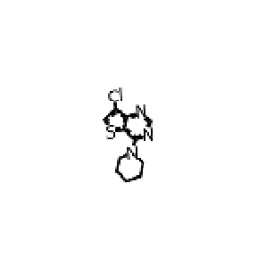 Clc1csc2c(N3CCCCC3)ncnc12